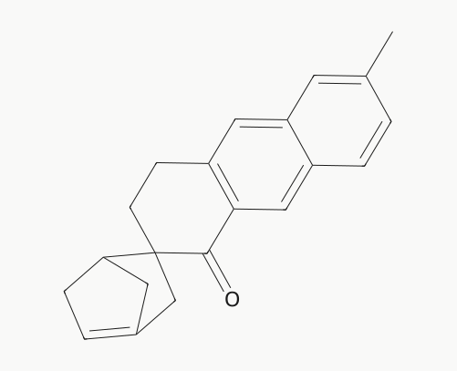 Cc1ccc2cc3c(cc2c1)CCC1(CC2=CCC1C2)C3=O